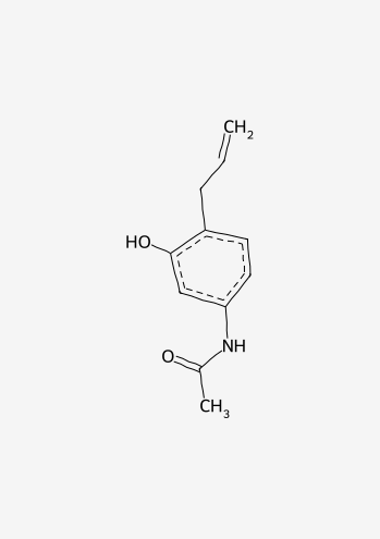 C=CCc1ccc(NC(C)=O)cc1O